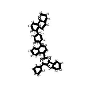 c1ccc(-c2nc(-c3ccc(-c4ccc(-c5cccc6c5ccc5cccnc56)cc4)c4ccccc34)nc3c2sc2ccccc23)cc1